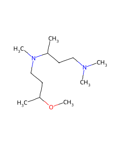 COC(C)CCN(C)C(C)CCN(C)C